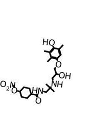 Cc1cc(OCC(O)CNC(C)(C)CNC(=O)C2CCC(O[N+](=O)[O-])CC2)c(C)c(C)c1O